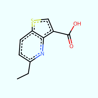 CCc1ccc2scc(C(=O)O)c2n1